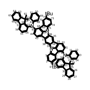 CC(C)(C)c1ccc2c(c1)c1c(N(c3ccccc3)c3cccc4c3C(C)(C)c3ccccc3-4)ccc3c4cc5c(cc4n2c31)c1ccc(N(c2ccccc2)c2cccc3c2C(C)(C)c2ccccc2-3)c2c3cc(C(C)(C)C)ccc3n5c12